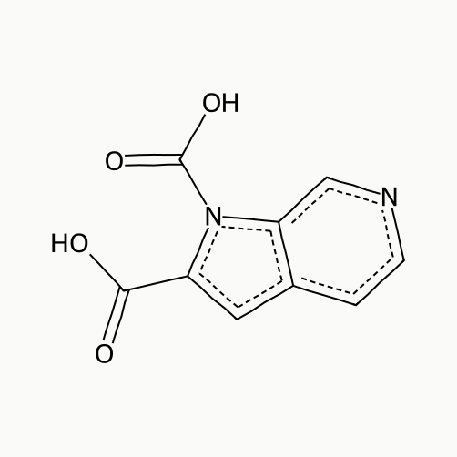 O=C(O)c1cc2ccncc2n1C(=O)O